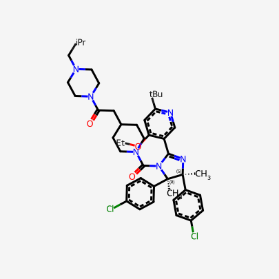 CCOc1cc(C(C)(C)C)ncc1C1=N[C@@](C)(c2ccc(Cl)cc2)[C@@](C)(c2ccc(Cl)cc2)N1C(=O)N1CCC(CC(=O)N2CCN(CC(C)C)CC2)CC1